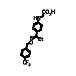 CC/C(=N\OCc1ccc(C(F)(F)F)cc1)c1ccc(NCC(=O)O)cc1